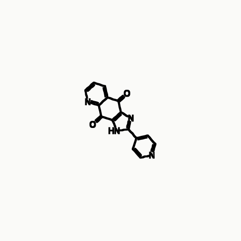 O=C1c2cccnc2C(=O)c2[nH]c(-c3ccncc3)nc21